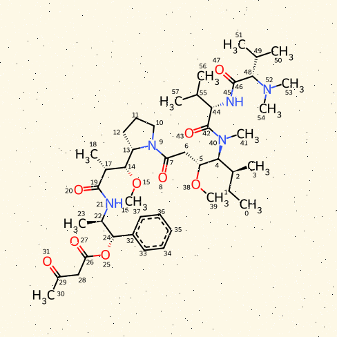 CC[C@H](C)[C@@H]([C@@H](CC(=O)N1CCC[C@H]1[C@H](OC)[C@@H](C)C(=O)N[C@H](C)[C@@H](OC(=O)CC(C)=O)c1ccccc1)OC)N(C)C(=O)[C@@H](NC(=O)[C@H](C(C)C)N(C)C)C(C)C